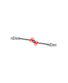 CCCCCCCCCCCCCCCCCCCCCCOC(=O)C1CCC(C(=O)OCCCCCCCCCCCCCCCCCCCCCC)CC1